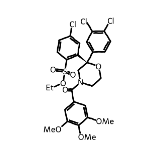 CCOS(=O)(=O)c1ccc(Cl)cc1[C@]1(c2ccc(Cl)c(Cl)c2)CN(C(=O)c2cc(OC)c(OC)c(OC)c2)CCO1